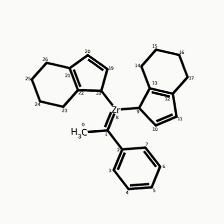 C[C](c1ccccc1)=[Zr]([CH]1C=CC2=C1CCCC2)[CH]1C=CC2=C1CCCC2